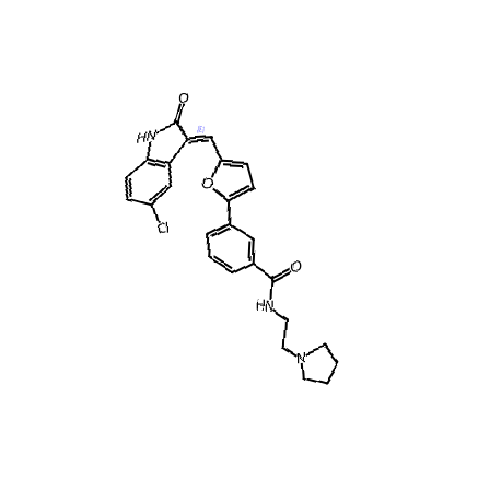 O=C1Nc2ccc(Cl)cc2/C1=C\c1ccc(-c2cccc(C(=O)NCCN3CCCC3)c2)o1